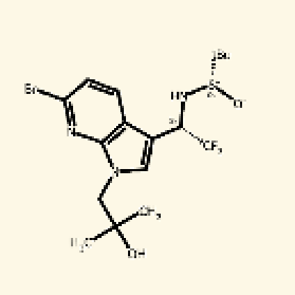 CC(C)(O)Cn1cc([C@H](N[S@@+]([O-])C(C)(C)C)C(F)(F)F)c2ccc(Br)nc21